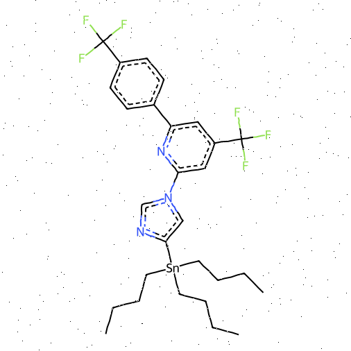 CCC[CH2][Sn]([CH2]CCC)([CH2]CCC)[c]1cn(-c2cc(C(F)(F)F)cc(-c3ccc(C(F)(F)F)cc3)n2)cn1